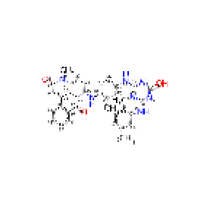 Cc1ccc(C)c(Nc2nc(O)nc(Nc3ccc(NC4=CC=C5C6C(=CC(=O)N5C)c5ccccc5C(=O)C46)c(C)c3)n2)c1